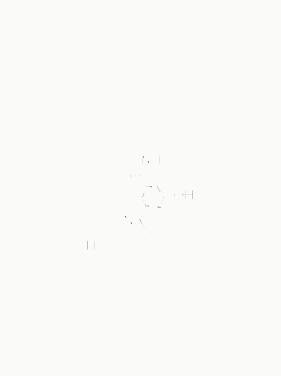 O=C(NCCS)c1cc(O)cc(C(=O)NCCS)c1